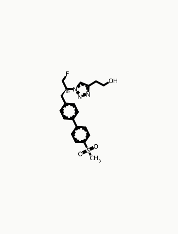 CS(=O)(=O)c1ccc(-c2ccc(C[C@@H](CF)n3cc(CCO)nn3)cc2)cc1